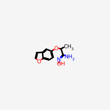 CC(Oc1ccc2occc2c1)C(N)=NO